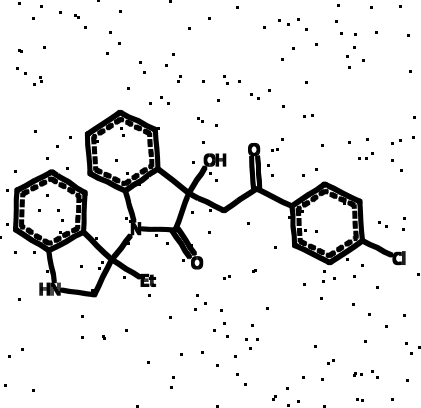 CCC1(N2C(=O)C(O)(CC(=O)c3ccc(Cl)cc3)c3ccccc32)CNc2ccccc21